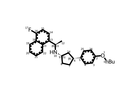 CCCCOc1ccc([C@@H]2CC[C@H](N[C@H](C)c3ccc(F)c4ccccc34)C2)cc1